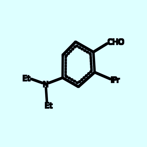 CCN(CC)c1ccc(C=O)c(C(C)C)c1